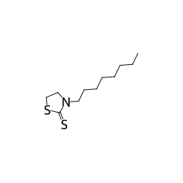 CCCCCCCCN1CCSC1=S